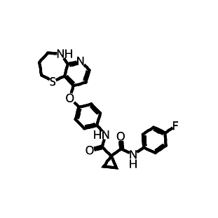 O=C(Nc1ccc(F)cc1)C1(C(=O)Nc2ccc(Oc3ccnc4c3SCCCN4)cc2)CC1